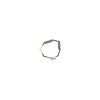 C1=C\CNCS\C=C/1